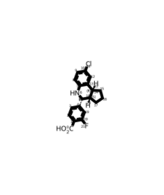 O=C(O)c1ccc([C@@H]2Nc3ccc(Cl)cc3[C@@H]3CCC[C@@H]32)cc1F